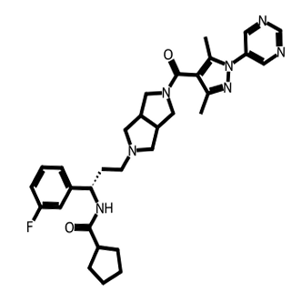 Cc1nn(-c2cncnc2)c(C)c1C(=O)N1CC2CN(CC[C@H](NC(=O)C3CCCC3)c3cccc(F)c3)CC2C1